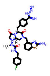 CN(C(=O)NCc1ccc(F)cc1)N1CC(=O)N2[C@@H](Cc3ccc(C(=N)NN=N)cc3)C(=O)N(Cc3cccc4sc(N)nc34)C[C@@H]21